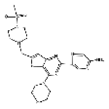 CS(=O)(=O)N1CCN(Cc2cc3nc(-c4cnc(N)cn4)nc(N4CCOCC4)c3s2)CC1